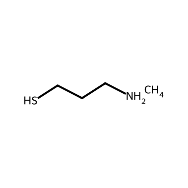 C.NCCCS